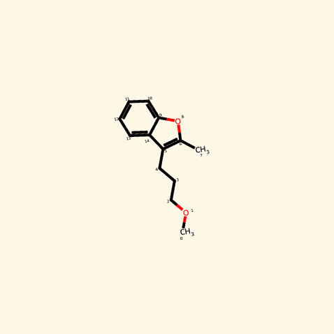 COCCCc1c(C)oc2ccccc12